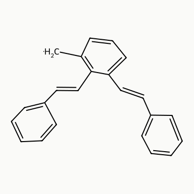 [CH2]c1cccc(/C=C/c2ccccc2)c1/C=C/c1ccccc1